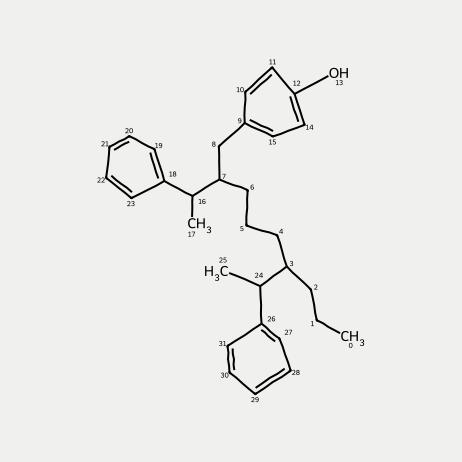 CCCC(CCCC(Cc1ccc(O)cc1)C(C)c1ccccc1)C(C)c1ccccc1